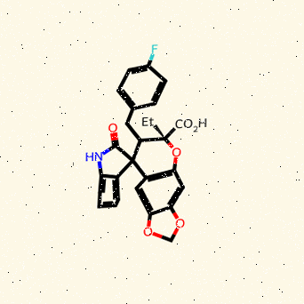 CC[C@@]1(C(=O)O)Oc2cc3c(cc2C2(C(=O)Nc4ccccc42)C1Cc1ccc(F)cc1)OCO3